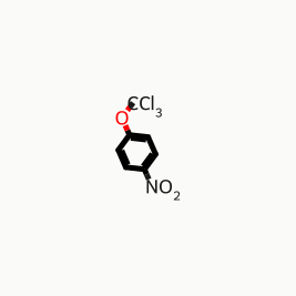 O=[N+]([O-])c1ccc(OC(Cl)(Cl)Cl)cc1